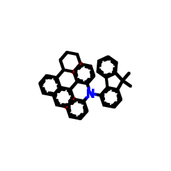 CC1(C)c2ccccc2-c2c(N(c3ccccc3)c3ccccc3-c3cccc4cccc(C5CCCCC5)c34)cccc21